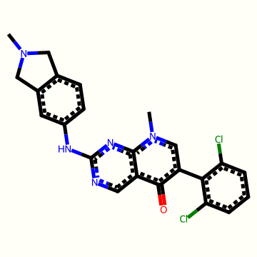 CN1Cc2ccc(Nc3ncc4c(=O)c(-c5c(Cl)cccc5Cl)cn(C)c4n3)cc2C1